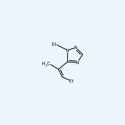 CC/C=C(/C)c1ncnn1CC